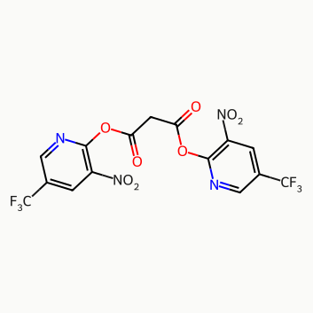 O=C(CC(=O)Oc1ncc(C(F)(F)F)cc1[N+](=O)[O-])Oc1ncc(C(F)(F)F)cc1[N+](=O)[O-]